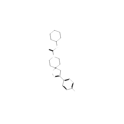 O=C(NC1CCCCC1)N1CCC2(CC1)CC(c1ccc(Cl)cc1)=NO2